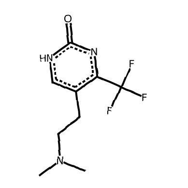 CN(C)CCc1c[nH]c(=O)nc1C(F)(F)F